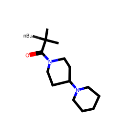 CCCCC(C)(C)C(=O)N1CCC(N2CCCCC2)CC1